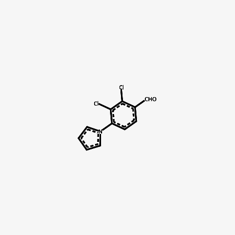 O=Cc1ccc(-n2cccc2)c(Cl)c1Cl